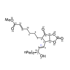 CCCCC[C@H](O)/C=C/C1C(CCCCC=CC(=O)OC)C(=O)C2OC(=O)OC21